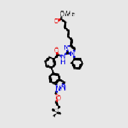 COC(=O)CCCCCc1cn(-c2ccccc2)c(NC(=O)c2cccc(-c3ccc4c(cnn4COCC[Si](C)(C)C)c3)c2)n1